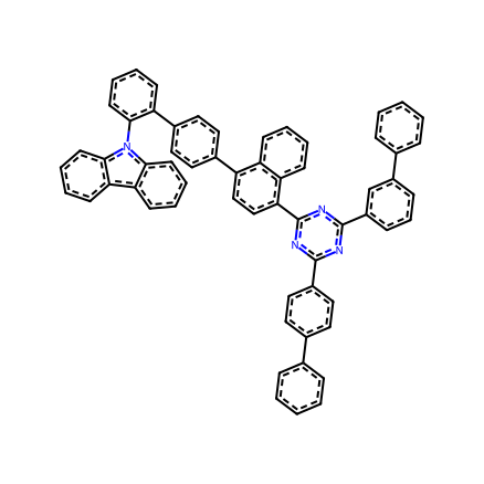 c1ccc(-c2ccc(-c3nc(-c4cccc(-c5ccccc5)c4)nc(-c4ccc(-c5ccc(-c6ccccc6-n6c7ccccc7c7ccccc76)cc5)c5ccccc45)n3)cc2)cc1